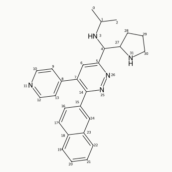 CC(C)NC(c1cc(-c2ccncc2)c(-c2ccc3ccccc3c2)nn1)C1CCCN1